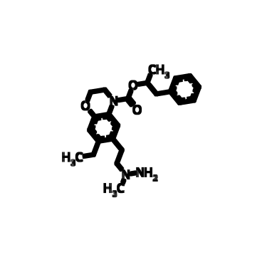 CCc1cc2c(cc1CCN(C)N)N(C(=O)OC(C)Cc1ccccc1)CCO2